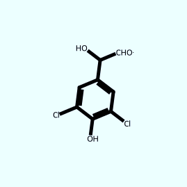 O=[C]C(O)c1cc(Cl)c(O)c(Cl)c1